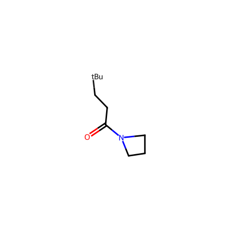 CC(C)(C)CCC(=O)N1CCC1